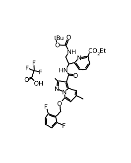 CCOC(=O)c1cccc(C(CNC(=O)OC(C)(C)C)NC(=O)c2c(C)nn3c(OCc4c(F)cccc4F)cc(C)cc23)n1.O=C(O)C(F)(F)F